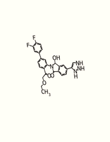 CCOCC(=O)c1ccc(-c2ccc(F)c(F)c2)cc1N1C(=O)c2ccc(C3=CNNN3)cc2C1O